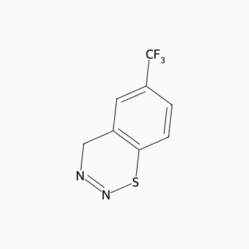 FC(F)(F)c1ccc2c(c1)CN=NS2